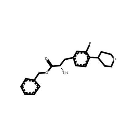 O=C(OCc1ccccc1)[C@@H](O)Cc1ccc(C2CCOCC2)c(F)c1